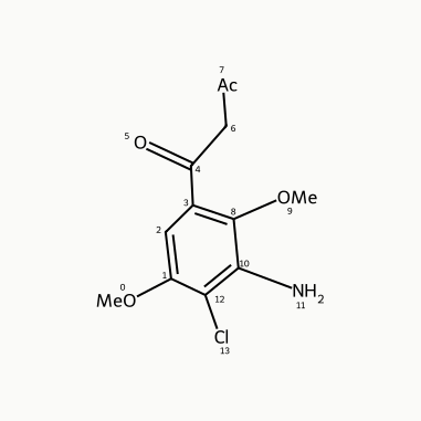 COc1cc(C(=O)CC(C)=O)c(OC)c(N)c1Cl